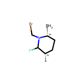 B[C@@H]1CC[C@H](C)C(F)N1CBr